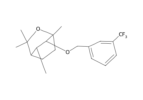 CC1C2CCC(C)(OC2(C)C)C1OCc1cccc(C(F)(F)F)c1